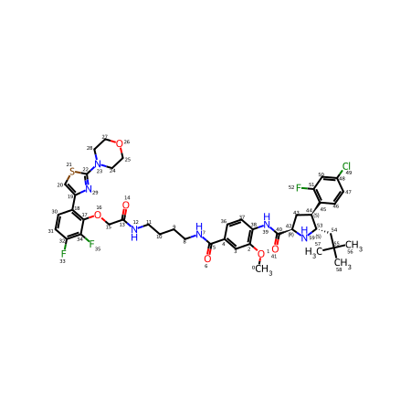 COc1cc(C(=O)NCCCCNC(=O)COc2c(-c3csc(N4CCOCC4)n3)ccc(F)c2F)ccc1NC(=O)[C@H]1C[C@@H](c2ccc(Cl)cc2F)[C@H](CC(C)(C)C)N1